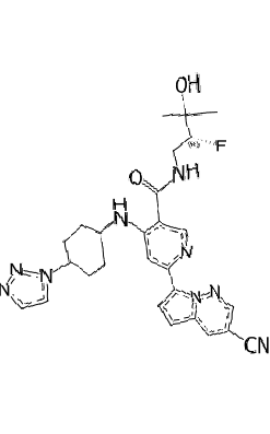 CC(C)(O)[C@H](F)CNC(=O)c1cnc(-c2ccc3cc(C#N)cnn23)cc1NC1CCC(n2ccnn2)CC1